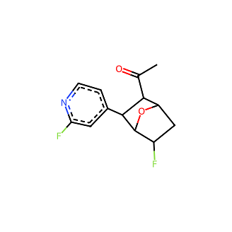 CC(=O)C1C2CC(F)C(O2)C1c1ccnc(F)c1